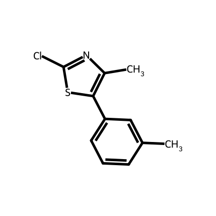 Cc1cccc(-c2sc(Cl)nc2C)c1